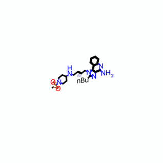 CCCCc1nc2c(N)nc3ccccc3c2n1C/C=C/CNC1CCN(S(C)(=O)=O)CC1